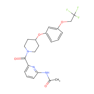 CC(=O)Nc1cccc(C(=O)N2CCC(Oc3cccc(OCC(F)(F)F)c3)CC2)n1